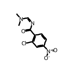 CN(C)/C=N\C(=O)c1ccc([N+](=O)[O-])cc1Cl